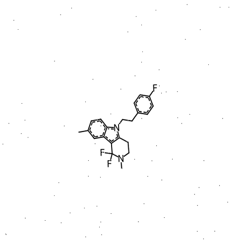 Cc1ccc2c(c1)c1c(n2CCc2ccc(F)cc2)CCN(C)C1(F)F